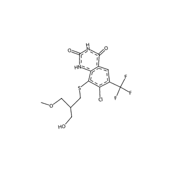 COCC(CO)CSc1c(Cl)c(C(F)(F)F)cc2c(=O)[nH]c(=O)[nH]c12